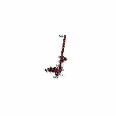 CC[C@H](C)[C@H](NC(=O)C(C)(C)N(C)C)C(=O)N(C)[C@H](C[C@@H](OC(C)=O)c1nc(C(=O)N[C@@H](Cc2ccc(O)c(NC(=O)CNC(=O)CNC(=O)CCCNC(=O)[C@H](CCCCNC(=O)COCCOCCOCCOCCOCCOCCOCCOCCOCCOC)NC(=O)CCCN3C(=O)C=CC3=O)c2)C[C@H](C)C(=O)NCCO)cs1)C(C)C